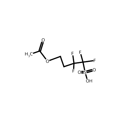 CC(=O)OCCC(F)(F)C(F)(F)S(=O)(=O)O